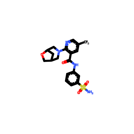 NS(=O)(=O)c1cccc(NC(=O)c2cc(C(F)(F)F)cnc2N2CC3COC(C3)C2)c1